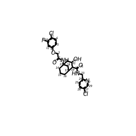 O=C(COc1ccc(Cl)c(F)c1)NC12CCCC(C1)C(C(=O)NCc1ccc(Cl)cn1)C(O)C2